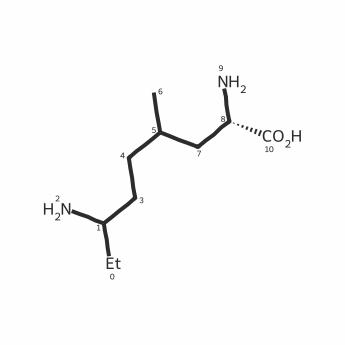 CCC(N)CCC(C)C[C@H](N)C(=O)O